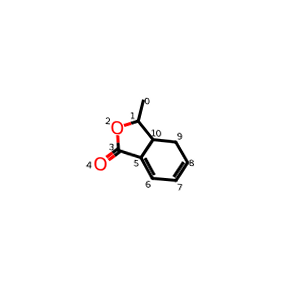 CC1OC(=O)C2=CC=CCC21